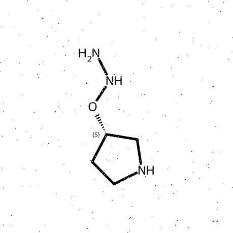 NNO[C@H]1CCNC1